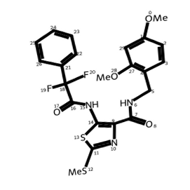 COc1ccc(CNC(=O)c2nc(SC)sc2NC(=O)C(F)(F)c2ccccc2)c(OC)c1